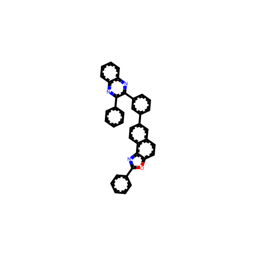 c1ccc(-c2nc3c(ccc4cc(-c5cccc(-c6nc7ccccc7nc6-c6ccccc6)c5)ccc43)o2)cc1